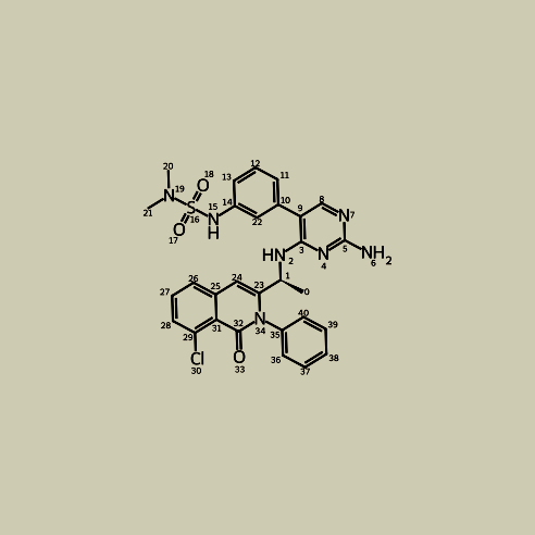 C[C@H](Nc1nc(N)ncc1-c1cccc(NS(=O)(=O)N(C)C)c1)c1cc2cccc(Cl)c2c(=O)n1-c1ccccc1